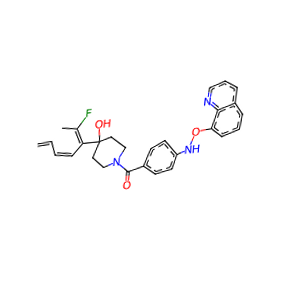 C=C/C=C\C(=C(/C)F)C1(O)CCN(C(=O)c2ccc(NOc3cccc4cccnc34)cc2)CC1